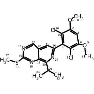 COc1cc(OC)c(Cl)c(-c2cc3cnc(SC)nc3c(C(C)C)n2)c1Cl